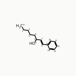 CCCCCC(O)C=Cc1ccccc1